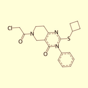 O=C(CCl)N1CCc2nc(SC3CCC3)n(-c3ccccc3)c(=O)c2C1